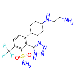 NCCN[C@H]1CC[C@H](c2ccc(C(F)(F)F)c(S(N)(=O)=O)c2-c2nnn[nH]2)CC1